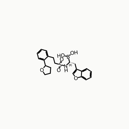 O=S(=O)(CCc1ccccc1C1CCCO1)N[C@@H](Cc1coc2ccccc12)B(O)O